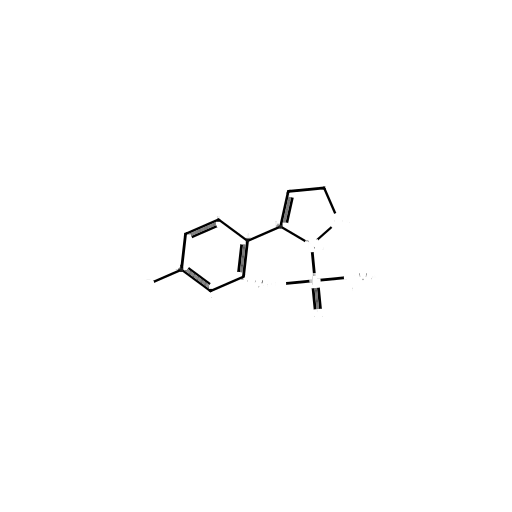 COP(=O)(OC)N1OCC=C1c1ccc(F)cc1